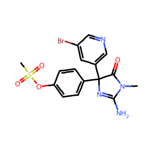 CN1C(=O)C(c2ccc(OS(C)(=O)=O)cc2)(c2cncc(Br)c2)N=C1N